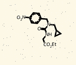 CCOC(=O)CNC(=O)N(Cc1ccc([N+](=O)[O-])cc1)CC1CC1